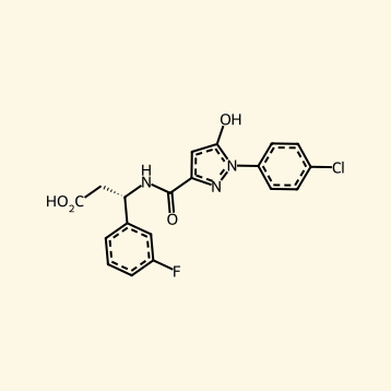 O=C(O)C[C@H](NC(=O)c1cc(O)n(-c2ccc(Cl)cc2)n1)c1cccc(F)c1